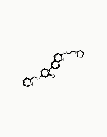 O=c1cc(OCc2ccccn2)ccn1-c1ccc2nc(OCCN3CCCC3)ccc2c1